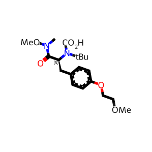 COCCOc1ccc(C[C@@H](C(=O)N(C)OC)N(C(=O)O)C(C)(C)C)cc1